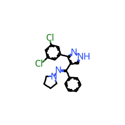 Clc1cc(Cl)cc(-c2n[nH]cc2C(=NN2CCCC2)c2ccccc2)c1